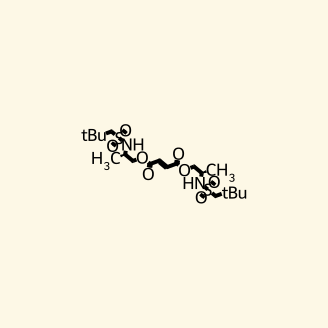 C[C@H](COC(=O)/C=C/C(=O)OC[C@@H](C)NS(=O)(=O)CC(C)(C)C)NS(=O)(=O)CC(C)(C)C